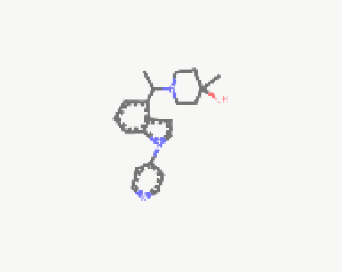 CC(c1cccc2c1ccn2-c1ccncc1)N1CCC(C)(O)CC1